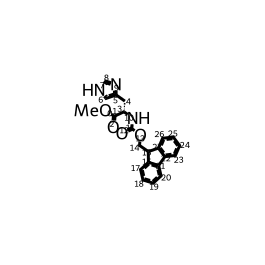 COC(=O)[C@H](Cc1c[nH]cn1)NC(=O)OCC1c2ccccc2-c2ccccc21